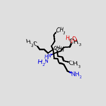 CCCCC(C)(CCCC)C(CCCCCN)(NN)C(C)(CCCC)CCCC.O